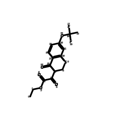 CCOC(=O)C(=O)C1CSc2cc(OC(C)(F)F)ccc2C1=O